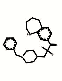 O=C(c1ccc2c(c1)NCCCC2)C(F)(F)CC1CCN(Cc2ccccc2)CC1